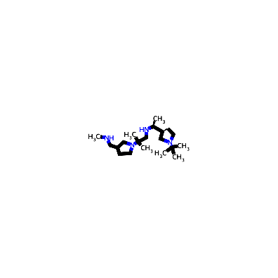 CNCC1CCN(C(C)(C)CN[C@@H](C)[C@@H]2CCN(C(C)(C)C)C2)C1